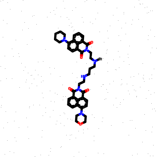 CCN(CCCNCCN1C(=O)c2cccc3c(N4CCOCC4)ccc(c23)C1=O)CCN1C(=O)c2cccc3c(N4CCCCC4)ccc(c23)C1=O